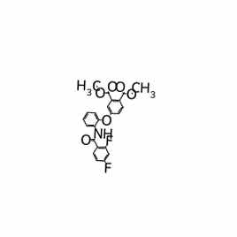 COC(=O)c1ccc(Oc2ccccc2NC(=O)c2ccc(F)cc2F)cc1C(=O)OC